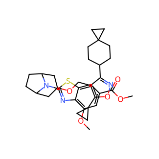 COC(=O)c1cc(OC)c2nc(N3C4CCC3CC(OCc3c(C5CCC6(CC5)CC6)noc3C3CC3)C4)sc2c1